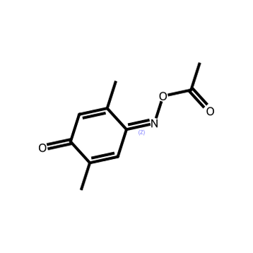 CC(=O)O/N=C1/C=C(C)C(=O)C=C1C